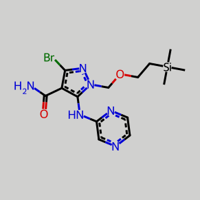 C[Si](C)(C)CCOCn1nc(Br)c(C(N)=O)c1Nc1cnccn1